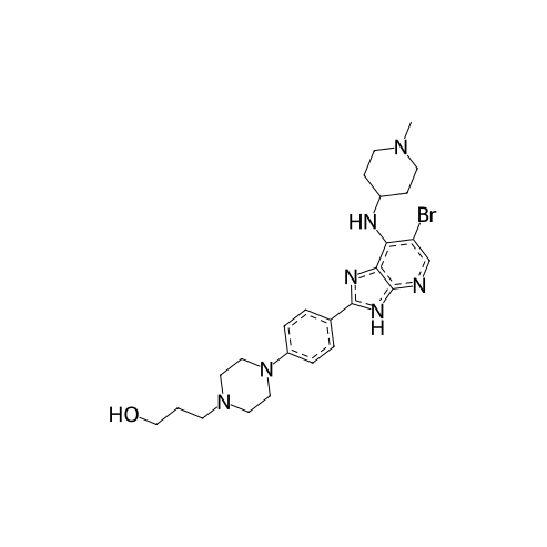 CN1CCC(Nc2c(Br)cnc3[nH]c(-c4ccc(N5CCN(CCCO)CC5)cc4)nc23)CC1